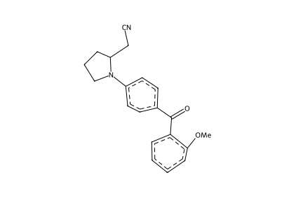 COc1ccccc1C(=O)c1ccc(N2CCCC2CC#N)cc1